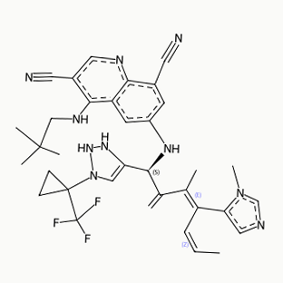 C=C(/C(C)=C(\C=C/C)c1cncn1C)[C@H](Nc1cc(C#N)c2ncc(C#N)c(NCC(C)(C)C)c2c1)C1=CN(C2(C(F)(F)F)CC2)NN1